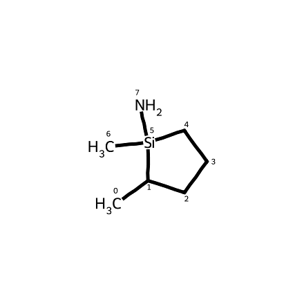 CC1CCC[Si]1(C)N